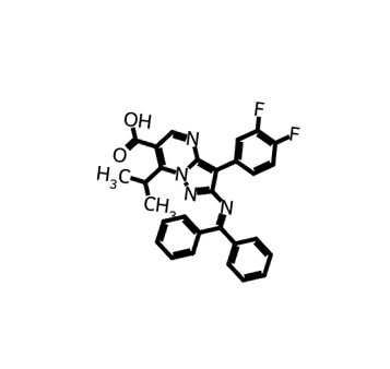 CC(C)c1c(C(=O)O)cnc2c(-c3ccc(F)c(F)c3)c(N=C(c3ccccc3)c3ccccc3)nn12